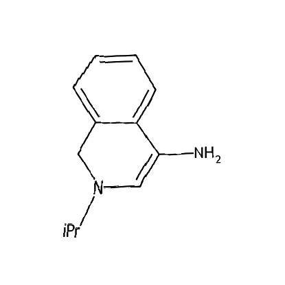 CC(C)N1C=C(N)c2ccccc2C1